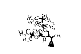 C=C(C1CC1)C(CO[Si](C)(C)C(C)(C)C)NC(=O)OC(C)(C)C